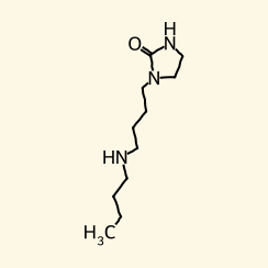 CCCCNCCCCN1CCNC1=O